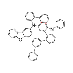 c1ccc(-c2cccc(-c3cccc4c3c3cc(N(c5ccc6oc7ccccc7c6c5)c5ccccc5-c5ccccc5)ccc3n4-c3ccccc3)c2)cc1